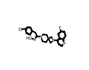 O/N=C(\Cc1ccc(Cl)cc1)N1CCC2(CC1)CN(c1ccnc3ccc(F)cc13)C2